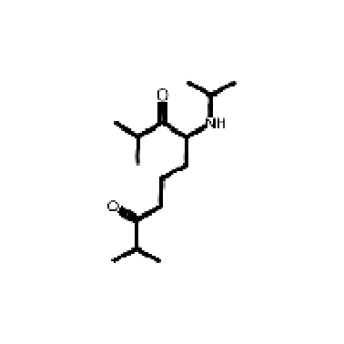 CC(C)NC(CCCC(=O)C(C)C)C(=O)C(C)C